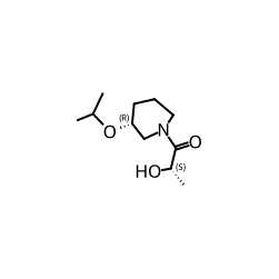 CC(C)O[C@@H]1CCCN(C(=O)[C@H](C)O)C1